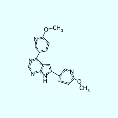 COc1ccc(-c2cc3c(-c4ccc(OC)nc4)ncnc3[nH]2)cn1